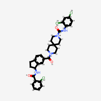 O=C(NC1CCc2ccc(C(=O)N3CCC4(CCN(C(=O)Nc5ccc(Cl)cc5Cl)CC4)CC3)cc21)c1ccccc1Cl